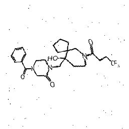 O=C1CN(C(=O)c2ccccc2)CCN1CC1(O)CCN(C(=O)CCC(F)(F)F)CC12CCCC2